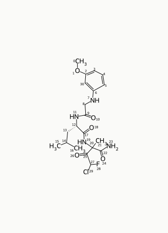 COc1cccc(NCC(=O)N[C@@H](CC(C)C)C(=O)NC(C)(C(N)=O)C(=O)C(F)Cl)c1